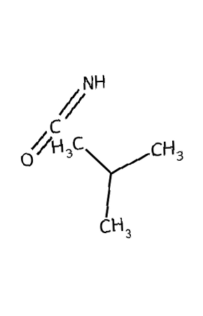 CC(C)C.N=C=O